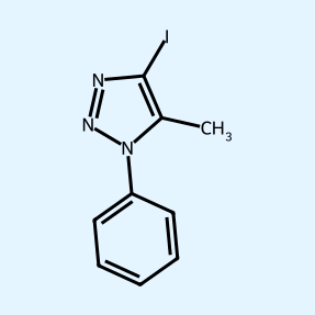 Cc1c(I)nnn1-c1ccccc1